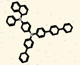 C1=CCC(c2ccc(N(C3=CC=C(N(C4=CCCC=C4)C4CC=Cc5ccccc54)CC3)c3ccc(C4=CCC(C5=CCCC=C5)C=C4)cc3)cc2)C=C1